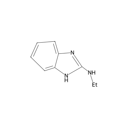 [CH2]CNc1nc2ccccc2[nH]1